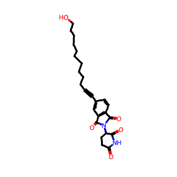 O=C1CCC(N2C(=O)c3ccc(C#CCCCCCCCCCCO)cc3C2=O)C(=O)N1